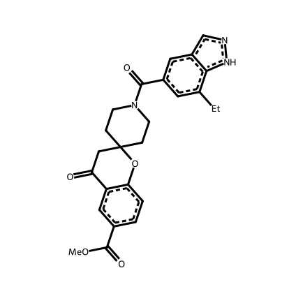 CCc1cc(C(=O)N2CCC3(CC2)CC(=O)c2cc(C(=O)OC)ccc2O3)cc2cn[nH]c12